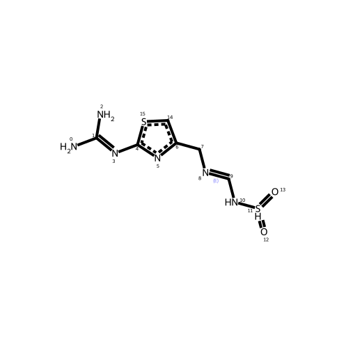 NC(N)=Nc1nc(C/N=C/N[SH](=O)=O)cs1